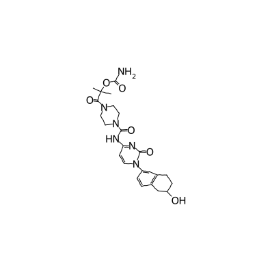 CC(C)(OC(N)=O)C(=O)N1CCN(C(=O)Nc2ccn(-c3ccc4c(c3)CCC(O)C4)c(=O)n2)CC1